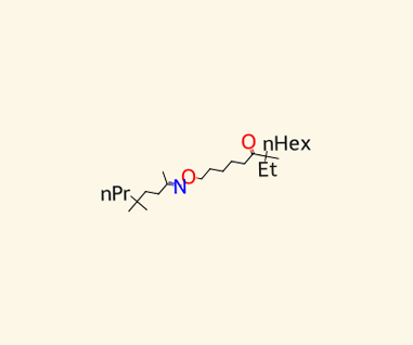 CCCCCCC(C)(CC)C(=O)CCCCCO/N=C(\C)CCC(C)(C)CCC